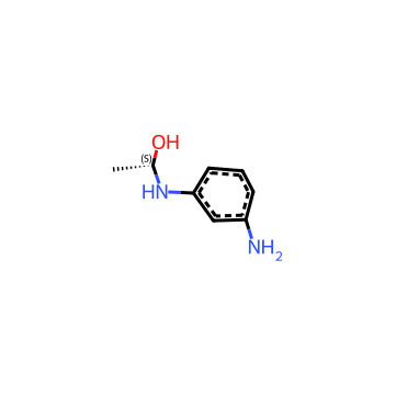 C[C@H](O)Nc1cccc(N)c1